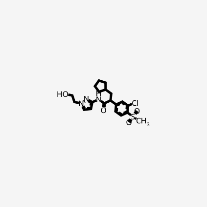 CS(=O)(=O)c1ccc(C(CC2CCCC2)C(=O)Nc2ccn(CCO)n2)cc1Cl